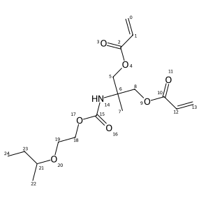 C=CC(=O)OCC(C)(COC(=O)C=C)NC(=O)OCCOC(C)CC